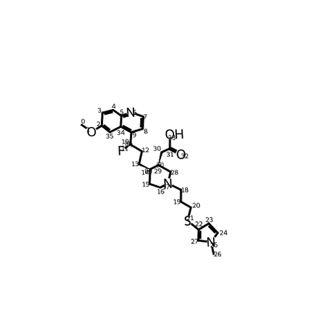 COc1ccc2nccc([C@H](F)CC[C@@H]3CCN(CCCSc4ccn(C)c4)C[C@@H]3CC(=O)O)c2c1